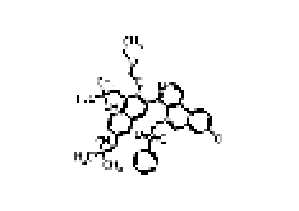 CCOCOc1c(-c2nccc3c2c(OS(=O)(=O)c2ccccc2)cc2cc(Cl)ccc23)cc2cc(CC(C)(C)C)ccc2c1CC(C)(C)C